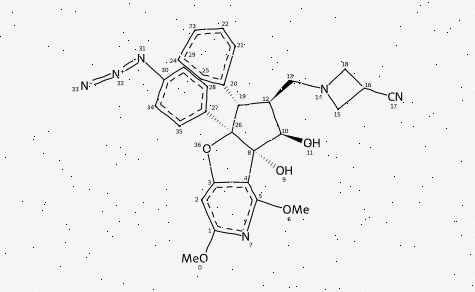 COc1cc2c(c(OC)n1)[C@]1(O)[C@H](O)[C@H](CN3CC(C#N)C3)[C@@H](c3ccccc3)[C@]1(c1ccc(N=[N+]=[N-])cc1)O2